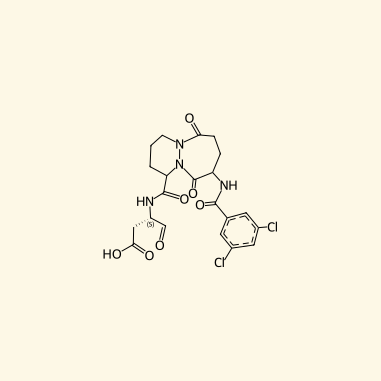 O=C[C@H](CC(=O)O)NC(=O)C1CCCN2C(=O)CCC(NC(=O)c3cc(Cl)cc(Cl)c3)C(=O)N12